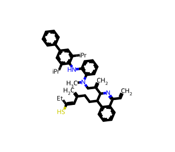 C=CC1=NC(C(=C)CN(C)c2ccccc2Nc2c(C(C)C)cc(-c3ccccc3)cc2C(C)C)C(CCC(=C)/C=C(/S)CC)c2ccccc21